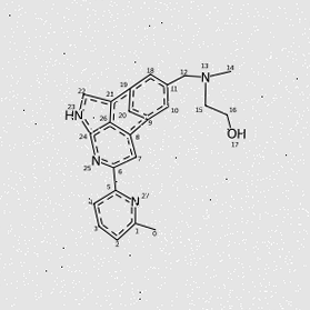 Cc1cccc(-c2cc3c4cc(CN(C)CCO)cc(c4)c4c[nH]c(n2)c43)n1